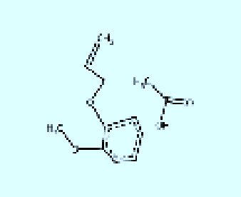 C=CCOc1ccccc1OC.CC(=O)O